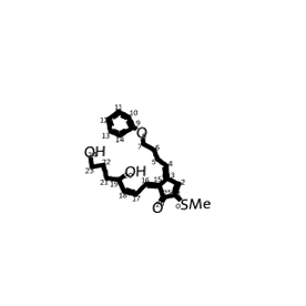 CSC1=CC(=CCCCOc2ccccc2)C(=C/C=C\C(O)CCCO)C1=O